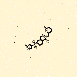 Cc1cccc(Cn2ncc3cc(S(=O)(=O)c4cnn(C)c4)ccc3c2=O)n1